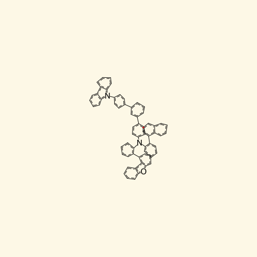 c1cc(-c2ccc(N(c3ccccc3-c3cccc4ccccc34)c3ccccc3-c3cccc4oc5ccccc5c34)cc2)cc(-c2ccc(-n3c4ccccc4c4ccccc43)cc2)c1